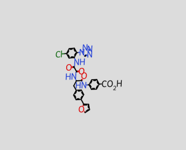 O=C(Nc1cc(Cl)ccc1-n1cnnn1)C(=O)NC(Cc1ccc(-c2ccco2)cc1)C(=O)Nc1ccc(C(=O)O)cc1